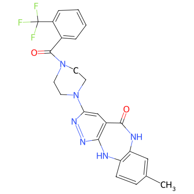 Cc1ccc2c(c1)NC(=O)c1cc(N3CCN(C(=O)c4ccccc4C(F)(F)F)CC3)nnc1N2